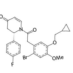 COc1cc(Br)c(CC(=O)N2C=CC(=O)C[C@H]2c2ccc(F)cc2)cc1OCC1CC1